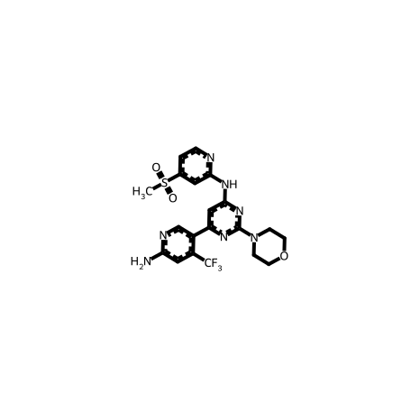 CS(=O)(=O)c1ccnc(Nc2cc(-c3cnc(N)cc3C(F)(F)F)nc(N3CCOCC3)n2)c1